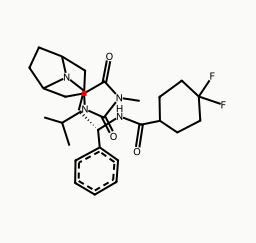 CC(C)N1C(=O)N(C)C(=O)C12CC1CCC(C2)N1CC[C@H](NC(=O)C1CCC(F)(F)CC1)c1ccccc1